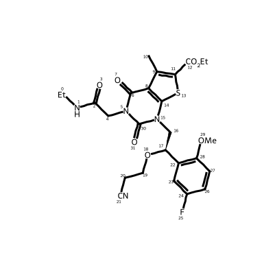 CCNC(=O)Cn1c(=O)c2c(C)c(C(=O)OCC)sc2n(C[C@H](OCCC#N)c2cc(F)ccc2OC)c1=O